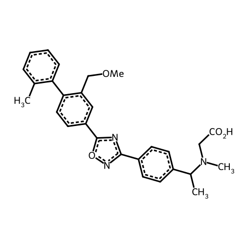 COCc1cc(-c2nc(-c3ccc(C(C)N(C)CC(=O)O)cc3)no2)ccc1-c1ccccc1C